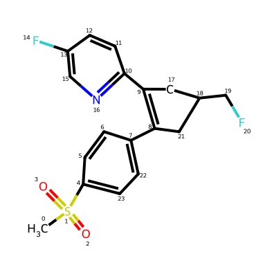 CS(=O)(=O)c1ccc(C2=C(c3ccc(F)cn3)CC(CF)C2)cc1